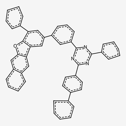 c1ccc(-c2ccc(-c3nc(-c4ccccc4)nc(-c4cccc(-c5cc(-c6ccccc6)c6oc7cc8ccccc8cc7c6c5)c4)n3)cc2)cc1